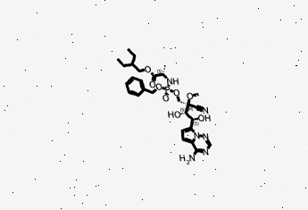 CCC(CC)COC(=O)[C@H](C)NP(=O)(OCc1ccccc1)OC[C@@](C#N)(OC)[C@@H](O)[C@@H](O)c1ccc2c(N)ncnn12